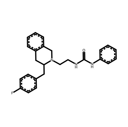 O=C(NCCN1Cc2ccccc2CC1Cc1ccc(F)cc1)Nc1ccccc1